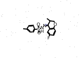 Cc1ccc(S(=O)(=O)N/N=C2\c3cc(F)ccc3OCC2C)cc1